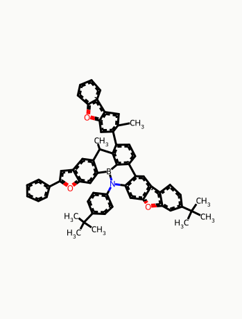 Cc1cc2c(cc1-c1ccc3c4c1C(C)c1cc5cc(-c6ccccc6)oc5cc1B4N(c1ccc(C(C)(C)C)cc1)c1cc4oc5cc(C(C)(C)C)ccc5c4cc1-3)oc1ccccc12